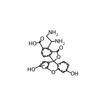 NCC(N)c1c(C(=O)O)ccc2c1C(=O)OC21c2ccc(O)cc2Oc2cc(O)ccc21